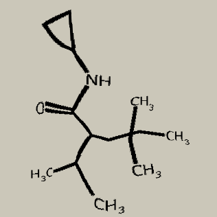 CC(C)C(C(=O)NC1CC1)C(C)(C)C